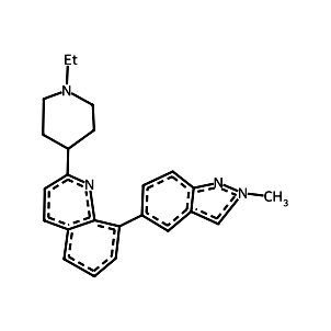 CCN1CCC(c2ccc3cccc(-c4ccc5nn(C)cc5c4)c3n2)CC1